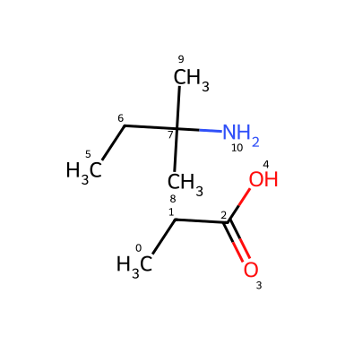 CCC(=O)O.CCC(C)(C)N